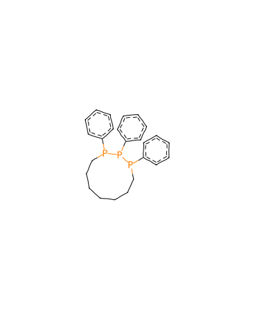 c1ccc(P2CCCCCCCP(c3ccccc3)P2c2ccccc2)cc1